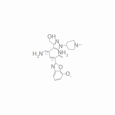 C=C(N)/C(=C\C(=C/N)c1cn(C2CCN(C)CC2)nc1CO)c1nc2cccc(OC)c2o1